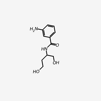 Nc1cccc(C(=O)NC(CO)CCO)c1